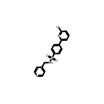 O=S(=O)(NCc1ccncc1)c1ccc(-c2cccc(Cl)n2)cc1